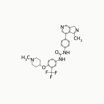 CC1=NCc2cncc(-c3ccc(NC(=O)Nc4ccc(OC5CCN(C)CC5)c(C(F)(F)F)c4)cc3)c21